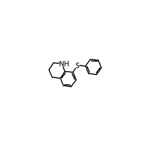 c1ccc(Sc2cccc3c2NCCC3)cc1